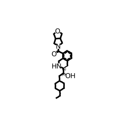 CCC1CCC(C[C@@H](O)[C@@H]2Cc3cccc(C(=O)N4CC5COCC5C4)c3CN2)CC1